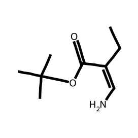 CCC(=CN)C(=O)OC(C)(C)C